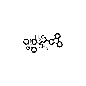 C=C/C(=C\C=C(/C)c1ccnc(P(=O)(c2ccccc2)c2ccccc2)c1)c1ccc2c3c#cccc3c3ccccc3c2c1